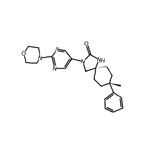 C[C@]1(c2ccccc2)CC[C@]2(CC1)CN(c1cnc(N3CCOCC3)nc1)C(=O)N2